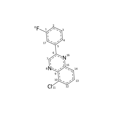 Fc1cccc(-c2cnc3c(Cl)cccc3n2)c1